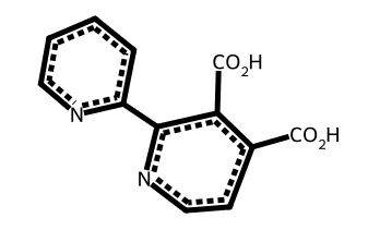 O=C(O)c1ccnc(-c2ccccn2)c1C(=O)O